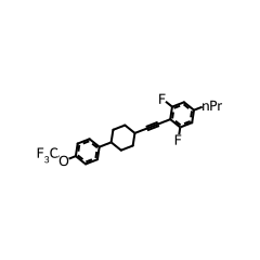 CCCc1cc(F)c(C#CC2CCC(c3ccc(OC(F)(F)F)cc3)CC2)c(F)c1